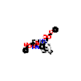 CC(COC(=O)c1ccccc1)OC(=O)NC1CC(C)(C)CC(C)(CNCC(=O)OCCOc2ccccc2)C1